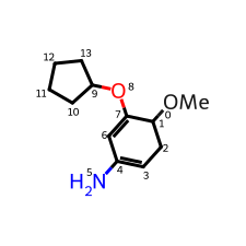 COC1CC=C(N)C=C1OC1CCCC1